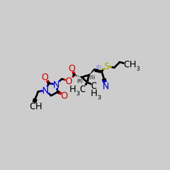 C#CCN1CC(=O)N(COC(=O)[C@@H]2[C@@H](/C=C(\C#N)SCCC)C2(C)C)C1=O